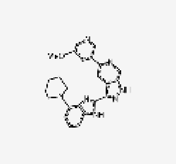 COc1cncc(-c2cc3c(-c4nc5c(N6CCCCC6)cccc5[nH]4)n[nH]c3cn2)c1